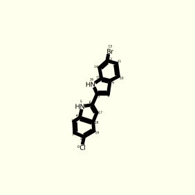 Clc1ccc2[nH]c(-c3cc4ccc(Br)cc4[nH]3)cc2c1